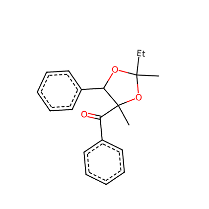 CCC1(C)OC(c2ccccc2)C(C)(C(=O)c2ccccc2)O1